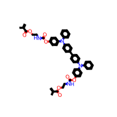 C=C(C)C(=O)OCCNC(=O)Oc1ccc(N(c2ccccc2)c2ccc(-c3ccc(N(c4ccccc4)c4ccc(OC(=O)NCCOC(=O)C(=C)C)cc4)cc3)cc2)cc1